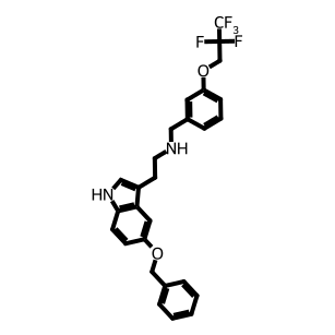 FC(F)(F)C(F)(F)COc1cccc(CNCCc2c[nH]c3ccc(OCc4ccccc4)cc23)c1